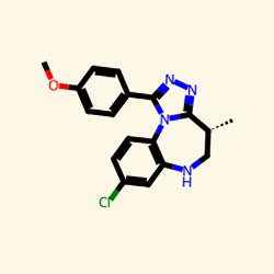 COc1ccc(-c2nnc3n2-c2ccc(Cl)cc2NC[C@H]3C)cc1